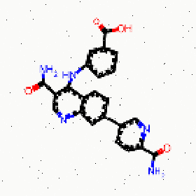 NC(=O)c1ccc(-c2ccc3c(Nc4cccc(C(=O)O)c4)c(C(N)=O)cnc3c2)cn1